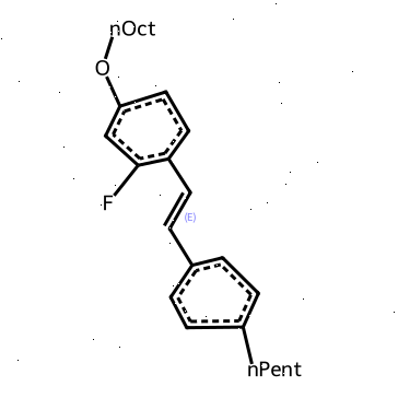 CCCCCCCCOc1ccc(/C=C/c2ccc(CCCCC)cc2)c(F)c1